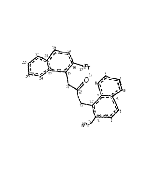 CC(C)c1ccc2ccccc2c1CC(=O)Cc1c(C(C)C)ccc2ccccc12